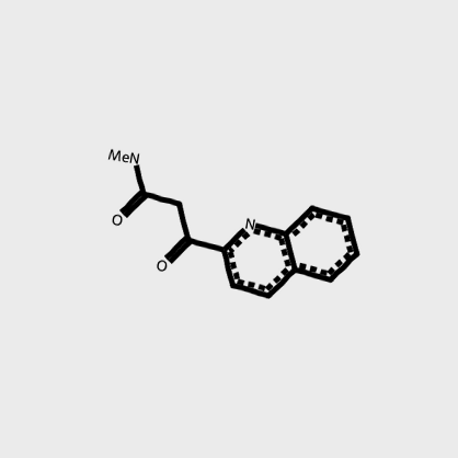 CNC(=O)CC(=O)c1ccc2ccccc2n1